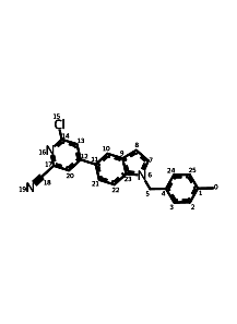 Cc1ccc(Cn2ccc3cc(-c4cc(Cl)nc(C#N)c4)ccc32)cc1